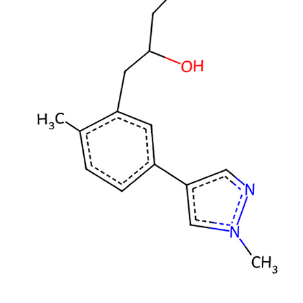 CCC(O)Cc1cc(-c2cnn(C)c2)ccc1C